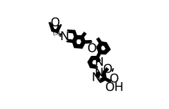 COc1c(C(=O)O)cnn1-c1cccc(-c2cccc(C)c2OCc2ccc3c(c2C)CCN(C[C@@H]2CCOC2)C3)n1